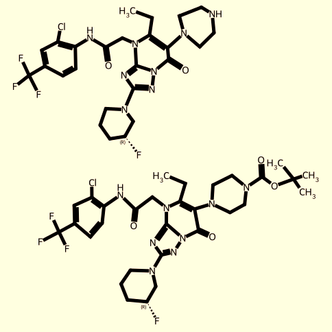 CCc1c(N2CCN(C(=O)OC(C)(C)C)CC2)c(=O)n2nc(N3CCC[C@@H](F)C3)nc2n1CC(=O)Nc1ccc(C(F)(F)F)cc1Cl.CCc1c(N2CCNCC2)c(=O)n2nc(N3CCC[C@@H](F)C3)nc2n1CC(=O)Nc1ccc(C(F)(F)F)cc1Cl